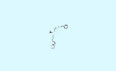 O=C(N[C@@H](CCN(CCCCc1ccc2c(n1)NCCC2)C1CC1)C(=O)O)OCc1cccc(F)c1